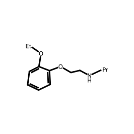 [CH2]C(C)NCCOc1ccccc1OCC